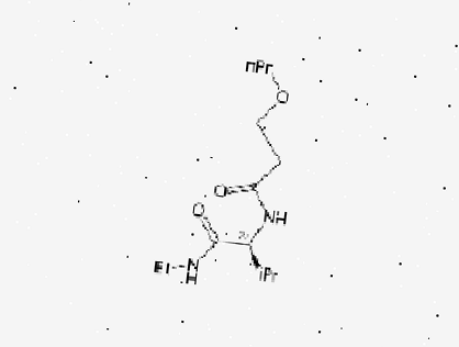 CCCOCCC(=O)N[C@H](C(=O)NCC)C(C)C